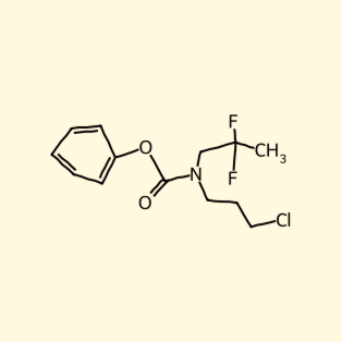 CC(F)(F)CN(CCCCl)C(=O)Oc1ccccc1